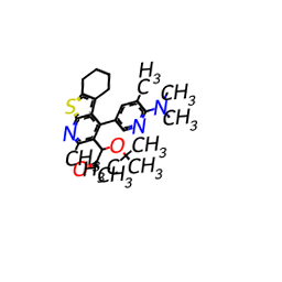 CC(=O)C(OC(C)(C)C)c1c(C)nc2sc3c(c2c1-c1cnc(N(C)C)c(C)c1)CCCC3